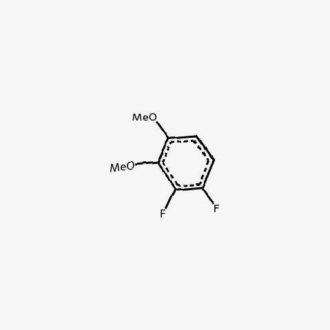 COc1ccc(F)c(F)c1OC